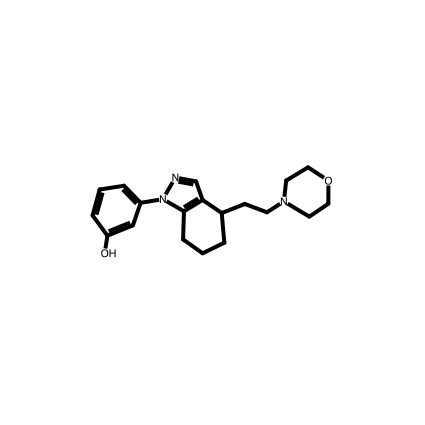 Oc1cccc(-n2ncc3c2CCCC3CCN2CCOCC2)c1